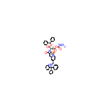 C[C@]1(COC(N)=O)[C@H](C(=O)OC(c2ccccc2)c2ccccc2)N2C(=O)/C(=C/c3cc(CNC(c4ccccc4)(c4ccccc4)c4ccccc4)ccn3)[C@H]2S1(=O)=O